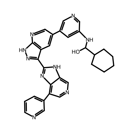 OC(Nc1cncc(-c2cnc3[nH]nc(-c4nc5c(-c6cccnc6)cncc5[nH]4)c3c2)c1)C1CCCCC1